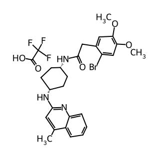 COc1cc(Br)c(CC(=O)N[C@H]2CC[C@@H](Nc3cc(C)c4ccccc4n3)CC2)cc1OC.O=C(O)C(F)(F)F